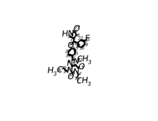 CCCn1c(=O)c2c(nc(-c3ccc(OC(c4cccc(F)c4)C4CNC(=O)C4)cc3)n2C)n(CCC)c1=O